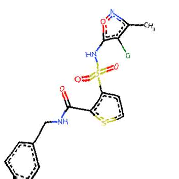 Cc1noc(NS(=O)(=O)c2ccsc2C(=O)NCc2ccccc2)c1Cl